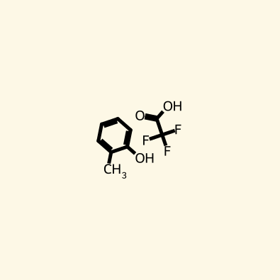 Cc1ccccc1O.O=C(O)C(F)(F)F